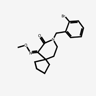 CON=C1C(=O)N(Cc2ccccc2Br)CCC12CCCC2